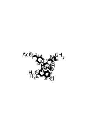 CC(=O)OCCC1CCN(C(=O)[C@H](Cc2nc(C)cs2)NS(=O)(=O)c2cc(Cl)cc3c2NCC(C)(C)C3)CC1